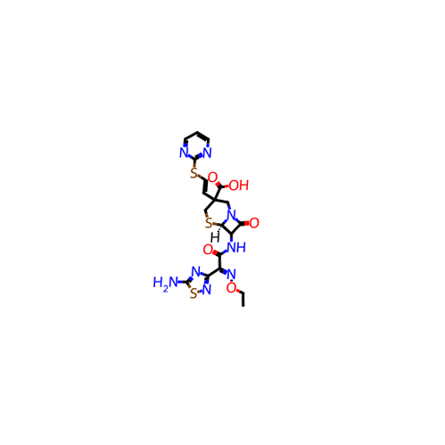 CCON=C(C(=O)NC1C(=O)N2CC(C=CSc3ncccn3)(C(=O)O)CS[C@H]12)c1nsc(N)n1